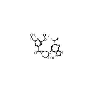 COc1cc(C(=O)N2CC[C@@H](O)[C@H](c3cc(C(F)F)nc4ncnn34)C2)cc(OC)n1